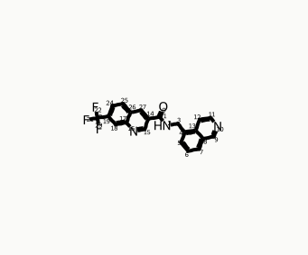 O=C(NCc1cccc2cnccc12)c1cnc2cc(C(F)(F)F)ccc2c1